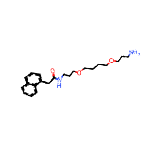 NCCCOCCCCOCCCNC(=O)Cc1cccc2ccccc12